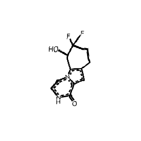 O=c1[nH]ccn2c3c(cc12)CCC(F)(F)C3O